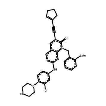 CSc1ccccc1Cn1c(=O)c(C#CC2=CCCC2)cc2cnc(Nc3ccc(N4CCNCC4)c(Cl)c3)nc21